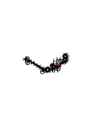 CC(C)(C)OC(=O)CCCCCCCCCC(=O)N1CCC(Nc2cc(C(=O)NC[C@H](O)CN3CCc4ccccc4C3)ncn2)CC1